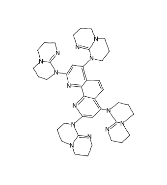 c1c(N2CCCN3CCCN=C32)nc2c(ccc3c(N4CCCN5CCCN=C54)cc(N4CCCN5CCCN=C54)nc32)c1N1CCCN2CCCN=C21